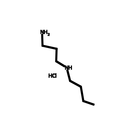 CCCCNCCCN.Cl